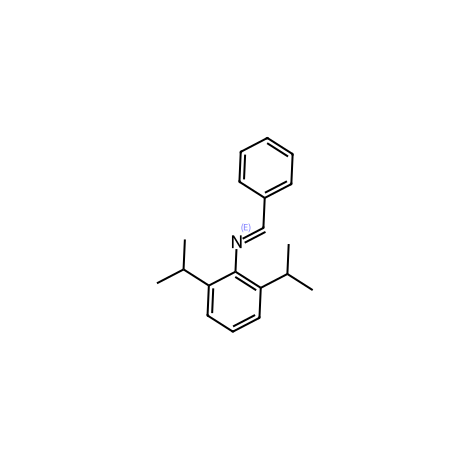 CC(C)c1cccc(C(C)C)c1/N=C/c1ccccc1